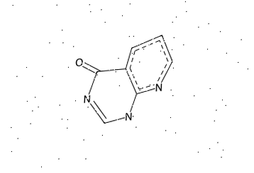 O=C1N=C[N]c2ncccc21